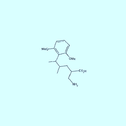 COc1cccc(OC)c1C(C)C(C)CC(CN)C(=O)O